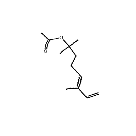 C=CC(C)=CCCC(C)(C)OC(C)=O